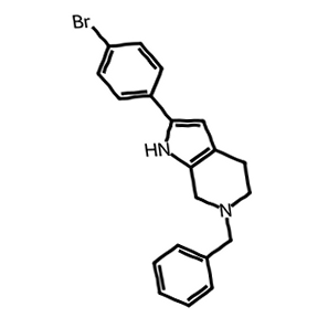 Brc1ccc(-c2cc3c([nH]2)CN(Cc2ccccc2)CC3)cc1